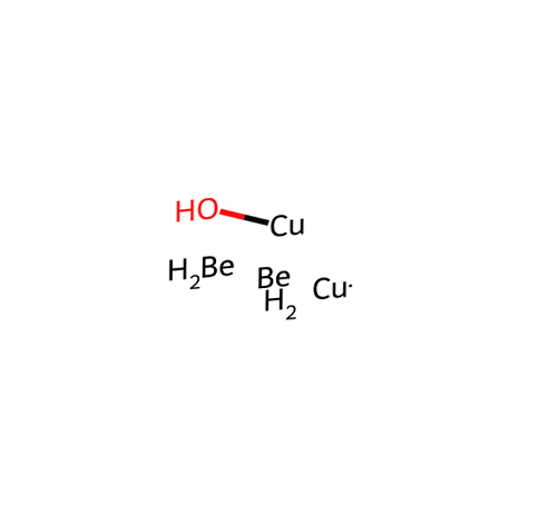 [BeH2].[BeH2].[Cu].[OH][Cu]